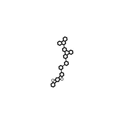 c1cc(-c2cccc(-c3ccc4c5ccc(-c6cc7ccccc7c7ccccc67)cc5c5ccccc5c4c3)c2)cc(-c2ccc3oc4cc5c(cc4c3c2)oc2ccccc25)c1